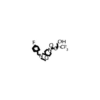 O=C(O[C@H](CO)C(F)(F)F)N1CCC2(CC1)CN(Cc1ccc(F)cc1)CCO2